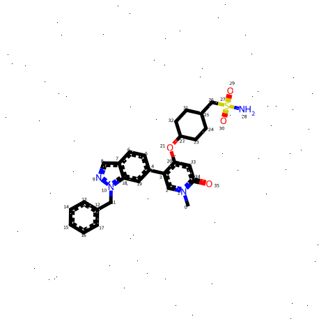 Cn1cc(-c2ccc3cnn(Cc4ccccc4)c3c2)c(OC2CCC(CS(N)(=O)=O)CC2)cc1=O